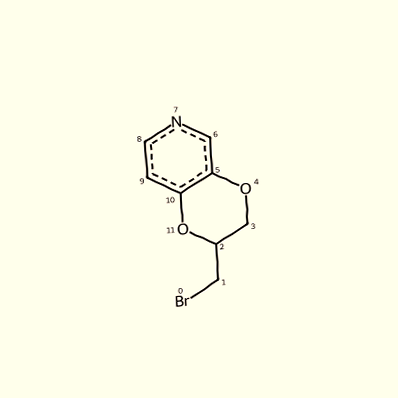 BrCC1COc2cnccc2O1